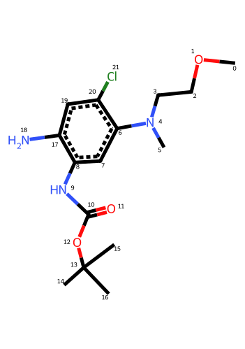 COCCN(C)c1cc(NC(=O)OC(C)(C)C)c(N)cc1Cl